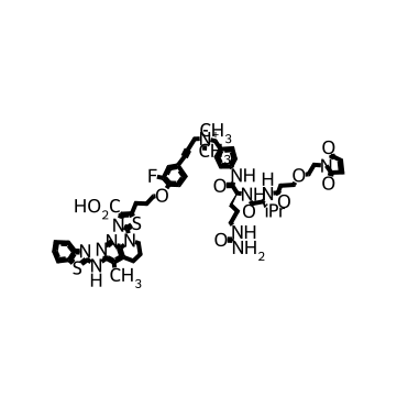 Cc1c(Nc2nc3ccccc3s2)nnc2c1CCCN2c1nc(C(=O)O)c(CCCOc2ccc(C#CC[N+](C)(C)Cc3ccc(NC(=O)[C@H](CCCNC(N)=O)NC(=O)[C@@H](NC(=O)CCOCCN4C(=O)C=CC4=O)C(C)C)cc3)cc2F)s1